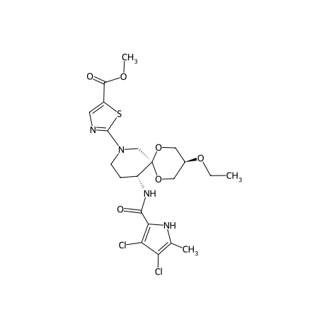 CCO[C@H]1CO[C@]2(CN(c3ncc(C(=O)OC)s3)CC[C@H]2NC(=O)c2[nH]c(C)c(Cl)c2Cl)OC1